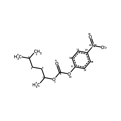 CC(C)CCC(C)OC(=O)Oc1ccc([N+](=O)[O-])cc1